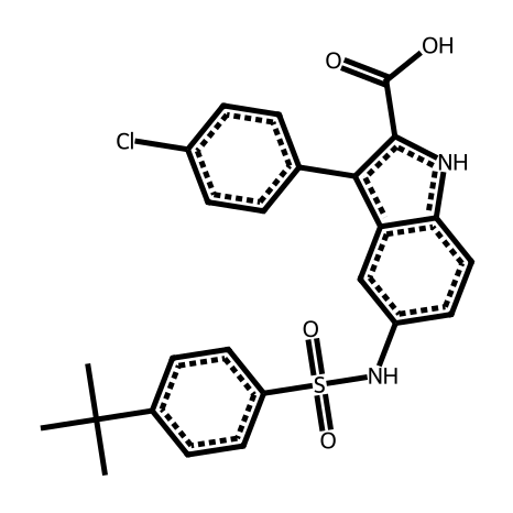 CC(C)(C)c1ccc(S(=O)(=O)Nc2ccc3[nH]c(C(=O)O)c(-c4ccc(Cl)cc4)c3c2)cc1